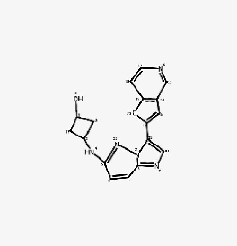 OC1CC(Nc2ccc3ncc(-c4cc5cnccc5o4)n3n2)C1